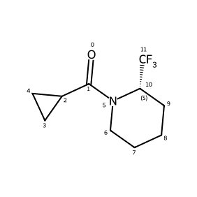 O=C(C1CC1)N1CCCC[C@H]1C(F)(F)F